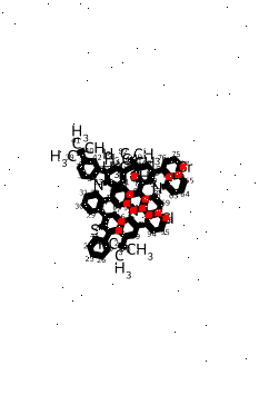 CC(C)(C)c1ccc(N(c2cccc(-c3c(-c4cccc5c4sc4ccccc45)cccc3-n3c4ccc(C(C)(C)C)cc4c4cc(C(C)(C)C)ccc43)c2)c2cc(Cl)cc(N(c3cccc(Br)c3)c3c(-c4ccccc4)cc(C(C)(C)C)cc3-c3ccccc3)c2)c(-c2ccccc2)c1